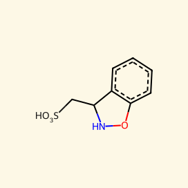 O=S(=O)(O)CC1NOc2ccccc21